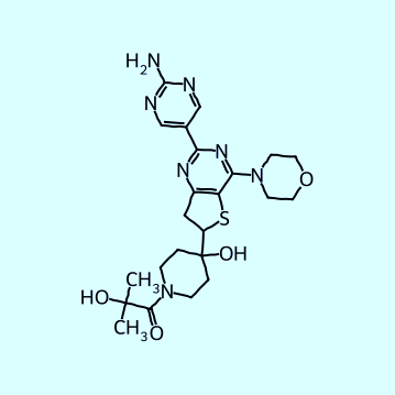 CC(C)(O)C(=O)N1CCC(O)(C2Cc3nc(-c4cnc(N)nc4)nc(N4CCOCC4)c3S2)CC1